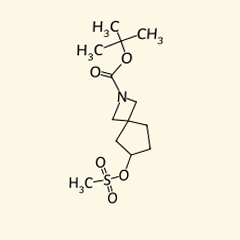 CC(C)(C)OC(=O)N1CC2(CCC(OS(C)(=O)=O)C2)C1